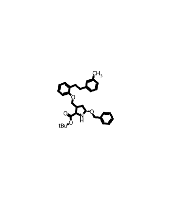 Cc1cccc(CCc2ccccc2OCC2C[C@@H](OCc3ccccc3)NC2C(=O)OC(C)(C)C)c1